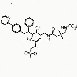 C[C@H](CS(C)(=O)=O)C(=O)N[C@@H](C(Cc1ccc(-c2ccccn2)cc1)c1ccccc1)[C@@H](O)CCNC(=O)CC(C)(C)CNC(=O)O